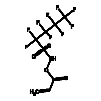 C=CC(=O)ONS(=O)(=O)C(F)(F)C(F)(F)C(F)(F)C(F)(F)F